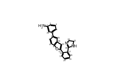 Nc1cccc(-c2ccc3oc(-c4ccccc4C4=NCCN4)cc3c2)c1